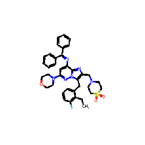 CCc1c(F)cccc1Cc1c(CN2CCS(=O)(=O)CC2)nc2c(N=C(c3ccccc3)c3ccccc3)cc(N3CCOCC3)nn12